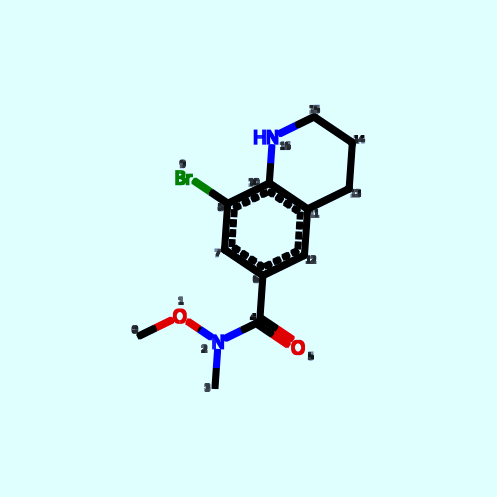 CON(C)C(=O)c1cc(Br)c2c(c1)CCCN2